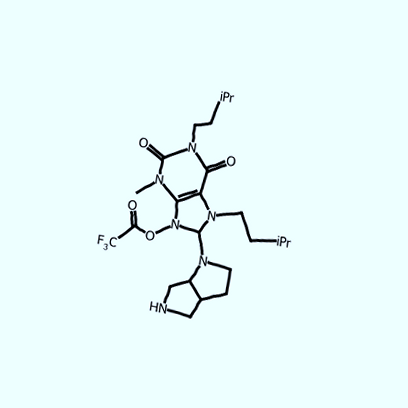 CC(C)CCN1c2c(n(C)c(=O)n(CCC(C)C)c2=O)N(OC(=O)C(F)(F)F)C1N1CCC2CNCC21